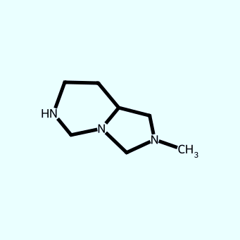 CN1CC2CCNCN2C1